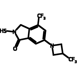 O=C1c2cc(N3CC(C(F)(F)F)C3)cc(C(F)(F)F)c2CN1S